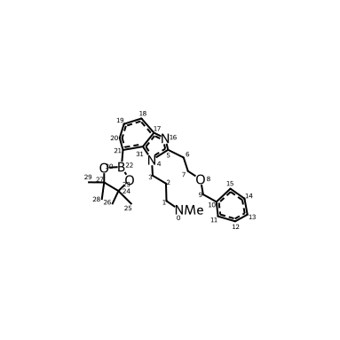 CNCCCn1c(CCOCc2ccccc2)nc2cccc(B3OC(C)(C)C(C)(C)O3)c21